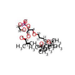 C=C(C)C(=O)OCC(COCCC[Si](C)(O[Si](C)(C)C)O[Si](C)(C)C)OP1(=O)OCCO1